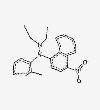 CCN(CC)N(c1ccccc1C)c1ccc([N+](=O)[O-])c2ccccc12